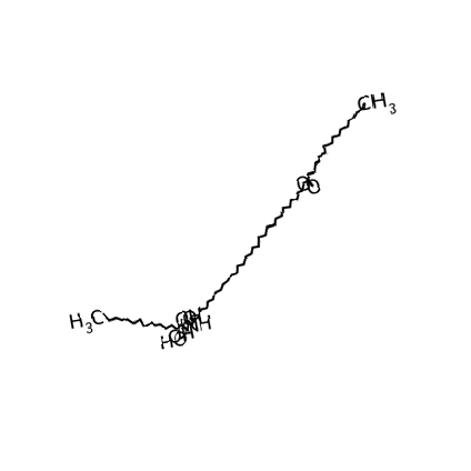 CCCCCCCCCCCCCC=CC=CC(=O)OCCCCCCCCCCCCCCCCCCCCCCCCCCCCCC(=O)N[C@H](CO)[C@H](O)C(O)CCCCCCCCCCCCCC